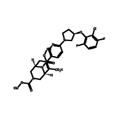 CC(C)(C)OC(=O)N1C[C@H]2CC(c3ccc(N4CC[C@@H](Oc5c(F)ccc(F)c5Cl)C4)nc3)=C(C(=O)O)[C@@H](C1)N2C(=O)OC(C)(C)C